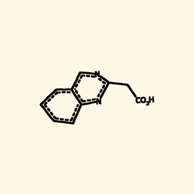 O=C(O)Cc1ncc2ccccc2n1